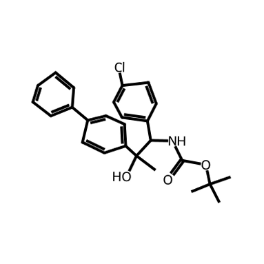 CC(C)(C)OC(=O)NC(c1ccc(Cl)cc1)C(C)(O)c1ccc(-c2ccccc2)cc1